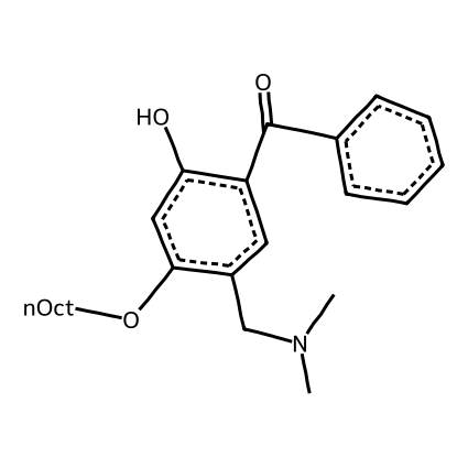 CCCCCCCCOc1cc(O)c(C(=O)c2ccccc2)cc1CN(C)C